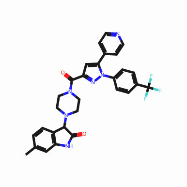 Cc1ccc2c(c1)NC(=O)C2N1CCN(C(=O)c2cc(-c3ccncc3)n(-c3ccc(C(F)(F)F)cc3)n2)CC1